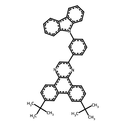 CC(C)(C)c1ccc2c(c1)c1cc(C(C)(C)C)ccc1c1nc(-c3cccc(-n4c5ccccc5c5ccccc54)c3)cnc21